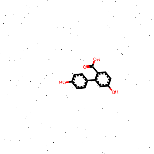 O=C(O)c1ccc(O)cc1-c1ccc(O)cc1